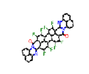 O=c1c2c(F)c(F)c3c4c(F)c(F)c5c6c(c(F)c(F)c(c7c(F)c(F)c(c2c37)c2nc3cccc7cccc(c73)n12)c46)c(=O)n1c2cccc3cccc(nc51)c32